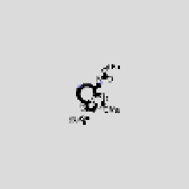 COC(=O)[C@@H]1CC(O[Si](C)(C)C(C)(C)C)[C@@H]2CC/C=C\CC(/C=N/C(=O)OC(C)(C)C)C(=O)N12